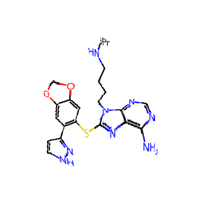 CC(C)NCCCCn1c(Sc2cc3c(cc2-c2cc[nH]n2)OCO3)nc2c(N)ncnc21